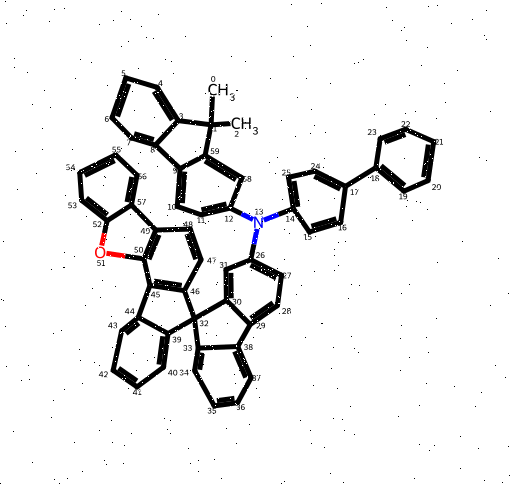 CC1(C)c2ccccc2-c2ccc(N(c3ccc(-c4ccccc4)cc3)c3ccc4c(c3)C3(c5ccccc5-4)c4ccccc4-c4c3ccc3c4oc4ccccc43)cc21